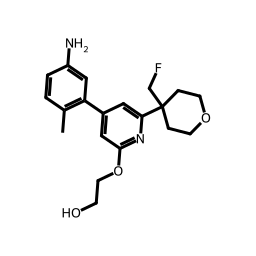 Cc1ccc(N)cc1-c1cc(OCCO)nc(C2(CF)CCOCC2)c1